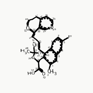 Cc1cc2cc(F)ccc2c(/C=C/C=C2/OCCc3ccncc32)c1C(OC(C)(C)C)C(=O)O